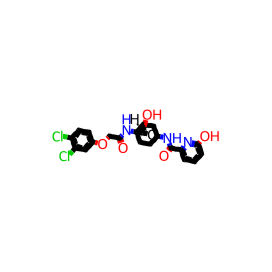 O=C(COc1ccc(Cl)c(Cl)c1)NC12CCC(NC(=O)c3cccc(O)n3)(CC1)C[C@@H]2O